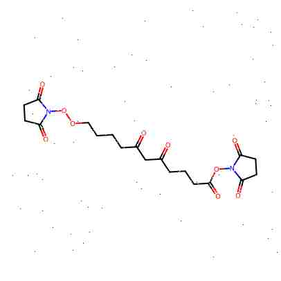 O=C(CCCCOON1C(=O)CCC1=O)CC(=O)CCCC(=O)ON1C(=O)CCC1=O